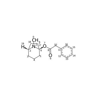 CN1[C@@H]2CCC[C@@]1(OC(=O)Cc1ccccc1)CC2